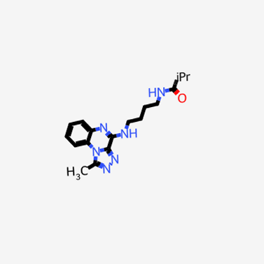 Cc1nnc2c(NCCCCNC(=O)C(C)C)nc3ccccc3n12